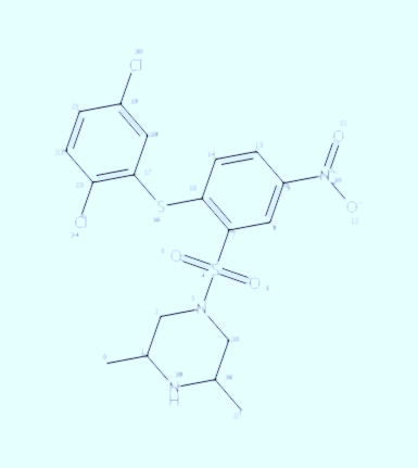 CC1CN(S(=O)(=O)c2cc([N+](=O)[O-])ccc2Sc2cc(Cl)ccc2Cl)CC(C)N1